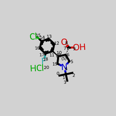 CC(C)(C)N1C[C@@H](C(=O)O)[C@H](c2ccc(Cl)cc2F)C1.Cl